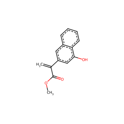 C=C(C(=O)OC)c1cc(O)c2ccccc2c1